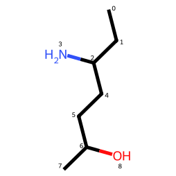 CCC(N)CCC(C)O